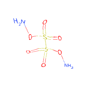 NOS(=O)(=O)S(=O)(=O)ON